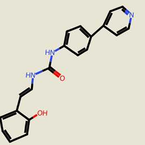 O=C(NC=Cc1ccccc1O)Nc1ccc(-c2ccncc2)cc1